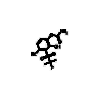 CC(C)(F)S(=O)(=O)c1c(C#N)ccc(OC(N)=O)c1O